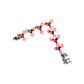 O=[Si]([O-])[O-].O=[Si]([O-])[O-].O=[Si]([O-])[O-].O=[Si]([O-])[O-].O=[Si]([O-])[O-].O=[Si]([O-])[O-].O=[Si]([O-])[O-].[Al+3].[Al+3].[Ba+2].[Ba+2].[Pb+2].[Pb+2]